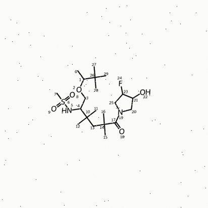 CC(OCC(NS(C)(=O)=O)C(C)(C)CC(C)(C)C(=O)N1CC(O)C(F)C1)C(C)(C)C